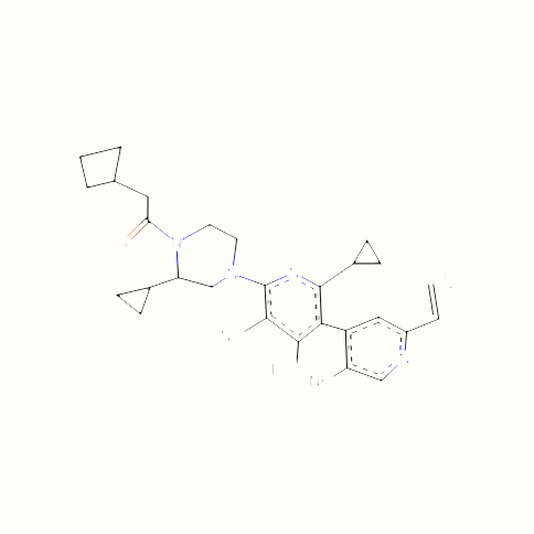 C=Cc1cc(-c2c(C3CC3)nc(N3CCN(C(=O)CC4CCC4)C(C4CC4)C3)c(C#N)c2C)c(C#N)cn1